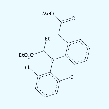 CCOC(=O)C(CC)N(c1ccccc1CC(=O)OC)c1c(Cl)cccc1Cl